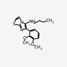 CCCCNc1c(-c2cccc(OC)c2OC)nc2sccn12